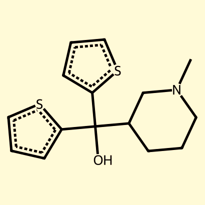 CN1CCCC(C(O)(c2cccs2)c2cccs2)C1